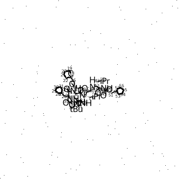 CC(C)C[C@H](NC(=O)[C@H](Cc1c[nH]cn1)N(COCc1ccccc1)C(=O)[C@H](Cc1ccccc1)NC(=O)OC(C)(C)C)C(O)CN[C@H](CC(C)C)C(=O)NC(=O)OCc1ccccc1